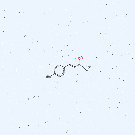 CC(C)(C)c1ccc(C=CC(O)C2CC2)cc1